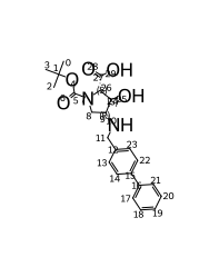 CC(C)(C)OC(=O)N1C[C@@H](NCc2ccc(-c3ccccc3)cc2)[C@H](O)[C@H]1C(=O)O